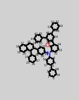 c1ccc(-c2ccc(N(c3ccc(-c4ccc5ccccc5c4-c4ccccc4)cc3)c3cccc4c3oc3c(-c5ccccc5)cc(-c5ccccc5)cc34)cc2)cc1